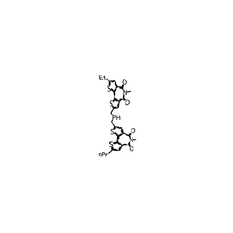 CCCc1cc2c(=O)n(C)c(=O)c3cc(CPCc4cc5c(=O)n(C)c(=O)c6cc(CC)sc6c5s4)sc3c2s1